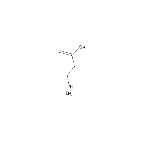 C.O=C(O)CCS